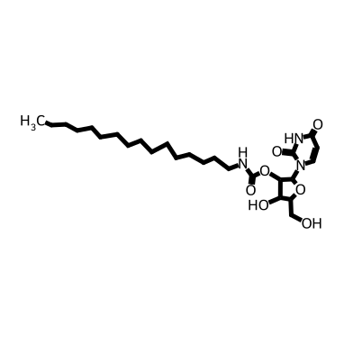 CCCCCCCCCCCCCCCCNC(=O)OC1C(O)C(CO)OC1n1ccc(=O)[nH]c1=O